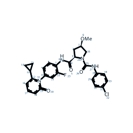 CO[C@@H]1C[C@H](C(=O)Nc2ccc(-n3c(C4CC4)cccc3=O)cc2F)N(C(=O)Nc2ccc(Cl)cc2)C1